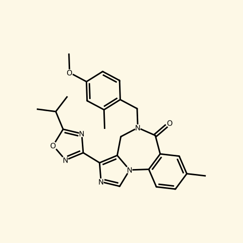 COc1ccc(CN2Cc3c(-c4noc(C(C)C)n4)ncn3-c3ccc(C)cc3C2=O)c(C)c1